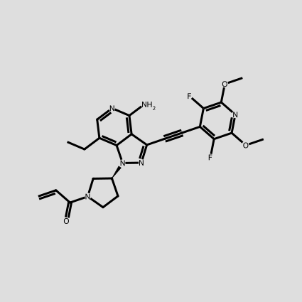 C=CC(=O)N1CC[C@H](n2nc(C#Cc3c(F)c(OC)nc(OC)c3F)c3c(N)ncc(CC)c32)C1